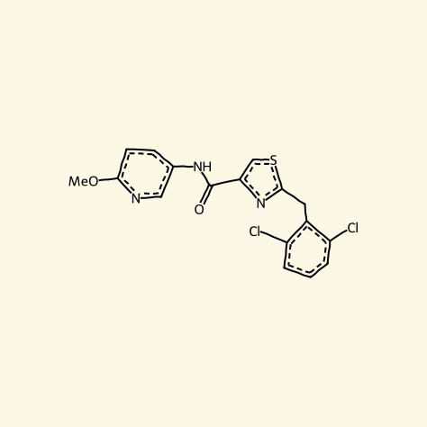 COc1ccc(NC(=O)c2csc(Cc3c(Cl)cccc3Cl)n2)cn1